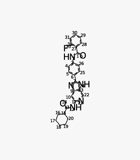 O=C(Nc1ccc(-c2nc3cc(NC(=O)C4CCCCC4)ncc3[nH]2)cc1)c1ccccc1F